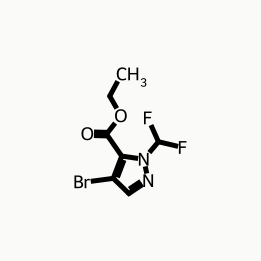 CCOC(=O)c1c(Br)cnn1C(F)F